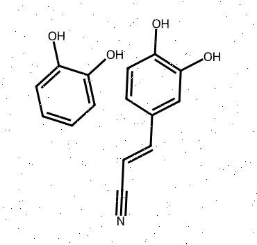 N#CC=Cc1ccc(O)c(O)c1.Oc1ccccc1O